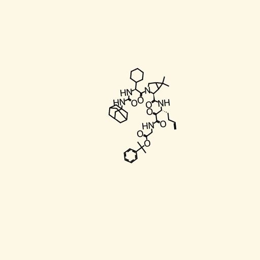 C=CCC[C@@H](NC(=O)[C@@H]1C2C(CN1C(=O)[C@@H](NC(=O)NC13CC4CC(CC(C4)C1)C3)C1CCCCC1)C2(C)C)C(=O)C(=O)NCC(=O)OC(C)(C)c1ccccc1